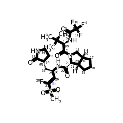 CC(C)(C)[C@@H](NC(=O)C(F)(F)F)C(=O)N1C[C@@H]2CCC[C@@H]2[C@@H]1C(=O)N[C@@H](/C=C(\F)S(C)(=O)=O)C[C@H]1CCNC1=O